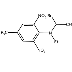 CCN(c1c([N+](=O)[O-])cc(C(F)(F)F)cc1[N+](=O)[O-])C(C)Br